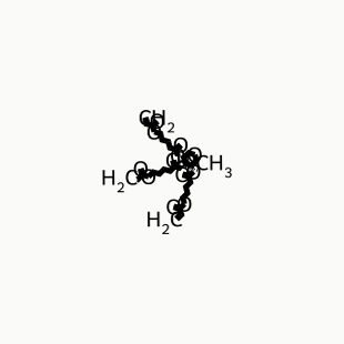 C=CC(=O)OCCCCC(=O)C[C@H]1[C@H](OC(=O)CCCCOC(=O)C=C)COC(C)[C@@H]1OC(=O)CCCCOC(=O)C=C